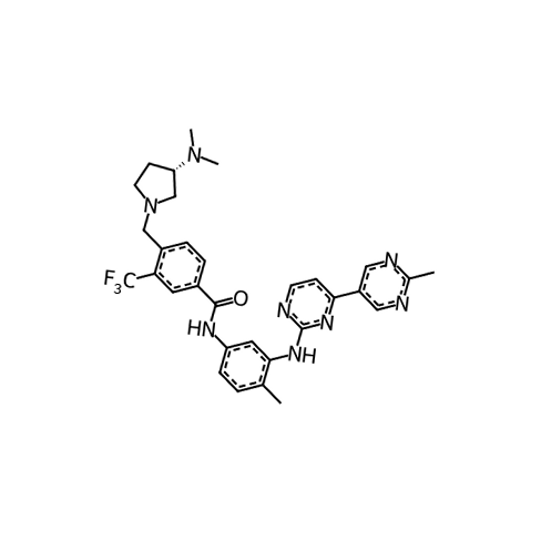 Cc1ncc(-c2ccnc(Nc3cc(NC(=O)c4ccc(CN5CC[C@H](N(C)C)C5)c(C(F)(F)F)c4)ccc3C)n2)cn1